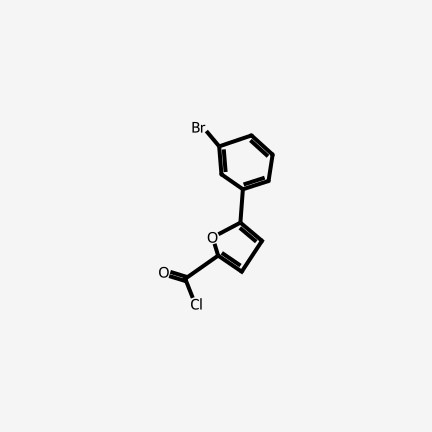 O=C(Cl)c1ccc(-c2cccc(Br)c2)o1